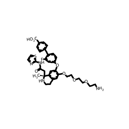 C[C@]1(CC(=O)Nc2nccs2)NCCc2cc(OCCOCCOCCN)c(Oc3ccc(-c4ccc(C(=O)O)cc4)c(F)c3)cc21